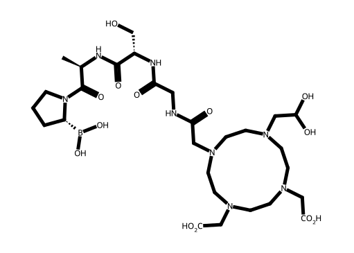 C[C@@H](NC(=O)[C@H](CO)NC(=O)CNC(=O)CN1CCN(CC(=O)O)CCN(CC(=O)O)CCN(CC(O)O)CC1)C(=O)N1CCC[C@H]1B(O)O